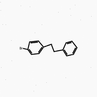 Brc1ccc([CH]Cc2ccccc2)cc1